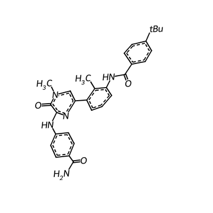 Cc1c(NC(=O)c2ccc(C(C)(C)C)cc2)cccc1-c1cn(C)c(=O)c(Nc2ccc(C(N)=O)cc2)n1